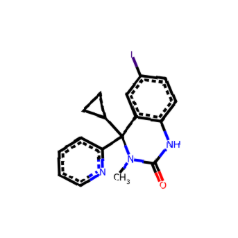 CN1C(=O)Nc2ccc(I)cc2C1(c1ccccn1)C1CC1